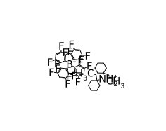 CCC1([NH2+]C2(CC)CCCCC2)CCCCC1.Fc1cc(F)c(F)c([B-](c2c(F)c(F)cc(F)c2F)(c2c(F)c(F)cc(F)c2F)c2c(F)c(F)cc(F)c2F)c1F